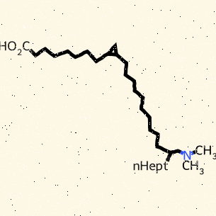 CCCCCCCC(CCCCCCCCCCC1CC1CCCCCCCC(=O)O)CN(C)C